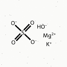 O=S(=O)([O-])[O-].[K+].[Mg+2].[OH-]